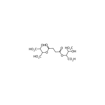 O=C(CCC(=O)OC(C(=O)O)C(O)C(=O)O)OC(C(=O)O)C(O)C(=O)O